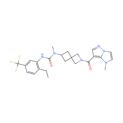 CCc1ccc(C(F)(F)F)cc1NC(=O)N(C)C1CC2(C1)CN(C(=O)c1cnn3ccn(C)c13)C2